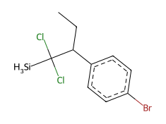 CCC(c1ccc(Br)cc1)C([SiH3])(Cl)Cl